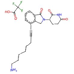 NCCCCCCC#Cc1cccc2c1CN(C1CCC(=O)NC1=O)C2=O.O=C(O)C(F)(F)F